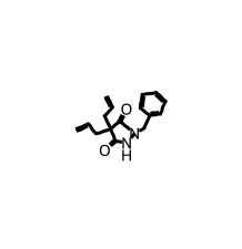 C=CCC1(CC=C)C(=O)NN(Cc2ccccc2)C1=O